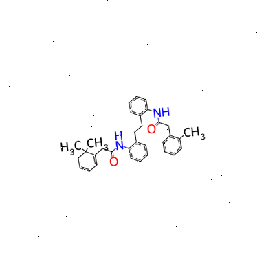 Cc1ccccc1CC(=O)Nc1ccccc1CCc1ccccc1NC(=O)CC1=CC=CCC1(C)C